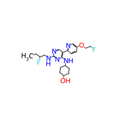 CC[C@H](F)CNc1ncc(-c2ccc(OCCF)cn2)c(NC2CCC(O)CC2)n1